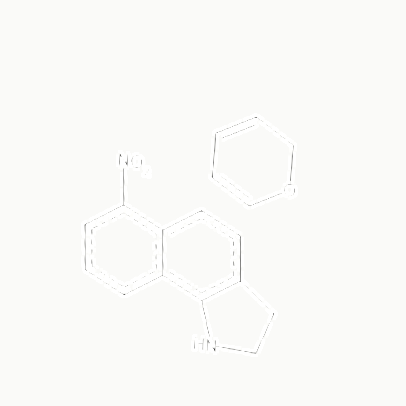 C1=CCOC=C1.O=[N+]([O-])c1cccc2c3c(ccc12)CCN3